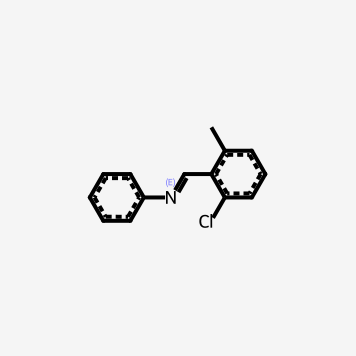 Cc1cccc(Cl)c1/C=N/c1ccccc1